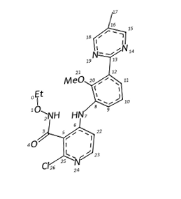 CCONC(=O)c1c(Nc2cccc(-c3ncc(C)cn3)c2OC)ccnc1Cl